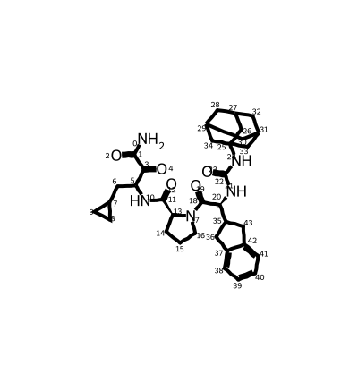 NC(=O)C(=O)C(CC1CC1)NC(=O)[C@@H]1CCCN1C(=O)[C@@H](NC(=O)NC12CC3CC(CC(C3)C1)C2)C1Cc2ccccc2C1